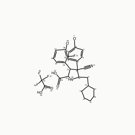 N#CC1(c2ccc(Cl)cc2)C(CC2CCCCC2)NC(C(=O)O)C1c1cccc(Cl)c1F.O=C(O)C(F)(F)F